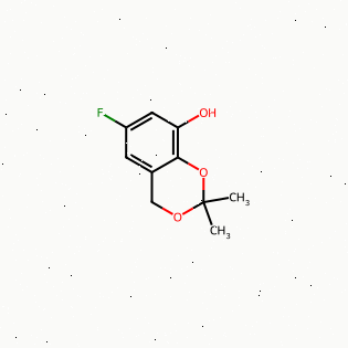 CC1(C)OCc2cc(F)cc(O)c2O1